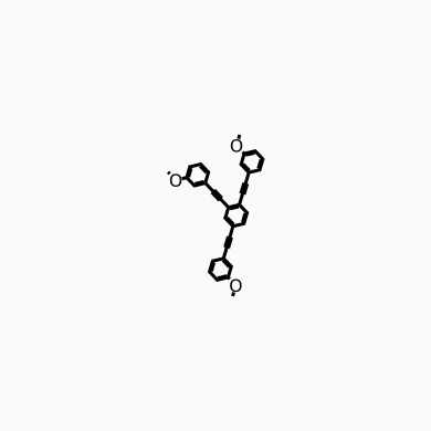 COc1cccc(C#Cc2ccc(C#Cc3cccc(OC)c3)c(C#Cc3cccc(OC)c3)c2)c1